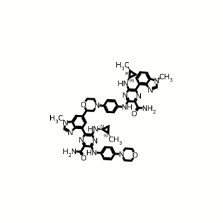 C[C@@H]1C[C@H]1Nc1nc(Nc2ccc(N3CCOC(c4cc(-c5nc(C(N)=O)c(Nc6ccc(N7CCOCC7)cc6)nc5N[C@H]5C[C@@H]5C)c5ncn(C)c5c4)C3)cc2)c(C(N)=O)nc1-c1cccc2c1ncn2C